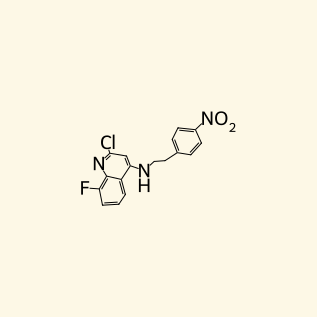 O=[N+]([O-])c1ccc(CCNc2cc(Cl)nc3c(F)cccc23)cc1